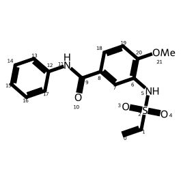 C=CS(=O)(=O)Nc1cc(C(=O)Nc2ccccc2)ccc1OC